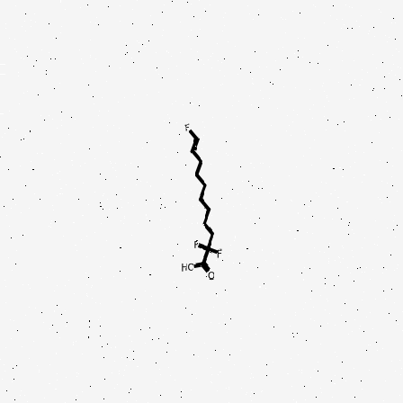 O=C(O)C(F)(F)CCCCCCCC=CF